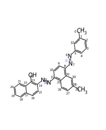 Cc1cccc(/N=N/c2ccc(/N=N/c3ccc4ccccc4c3O)c3ccc(C)cc23)c1